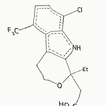 CCC1(CC(=O)O)OCCc2c1[nH]c1c(Cl)ccc(C(F)(F)F)c21